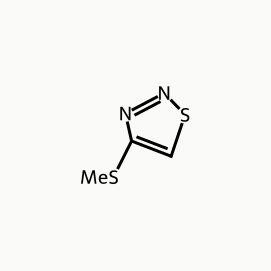 CSc1csnn1